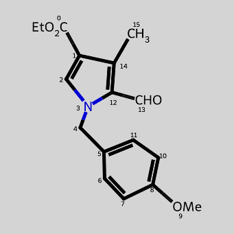 CCOC(=O)c1cn(Cc2ccc(OC)cc2)c(C=O)c1C